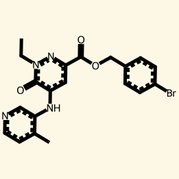 CCn1nc(C(=O)OCc2ccc(Br)cc2)cc(Nc2cnccc2C)c1=O